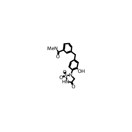 CNC(=O)c1cccc(Cc2ccc(N3CC(=O)NS3(=O)=O)c(O)c2)c1